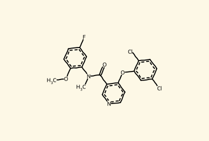 COc1ccc(F)cc1N(C)C(=O)c1cnccc1Oc1cc(Cl)ccc1Cl